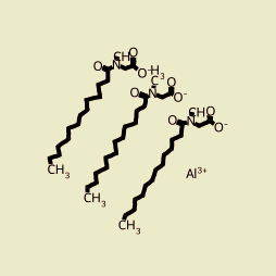 CCCCCCCCCCCCCC(=O)N(C)CC(=O)[O-].CCCCCCCCCCCCCC(=O)N(C)CC(=O)[O-].CCCCCCCCCCCCCC(=O)N(C)CC(=O)[O-].[Al+3]